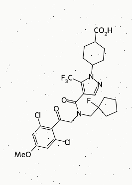 COc1cc(Cl)c(C(=O)CN(CC2(F)CCCC2)C(=O)c2cnn(C3CCC(C(=O)O)CC3)c2C(F)(F)F)c(Cl)c1